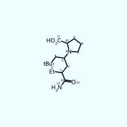 CCC(CC(CC(C)(C)C)N1CCCC1C(=O)O)C(N)=O